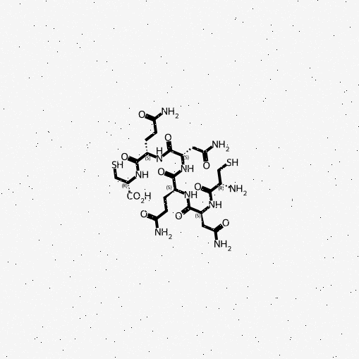 NC(=O)CC[C@H](NC(=O)[C@H](CC(N)=O)NC(=O)[C@H](CCC(N)=O)NC(=O)[C@H](CC(N)=O)NC(=O)[C@@H](N)CS)C(=O)N[C@@H](CS)C(=O)O